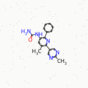 Cc1ncc(-c2nc(-c3ccccc3)c(NC(N)=O)cc2C)cn1